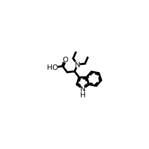 CCN(CC)C(CC(=O)O)c1c[nH]c2ccccc12